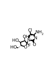 Nc1nc(=O)n([C@]2(F)O[C@H](CO)[C@@H](O)[C@H]2O)cc1Cl